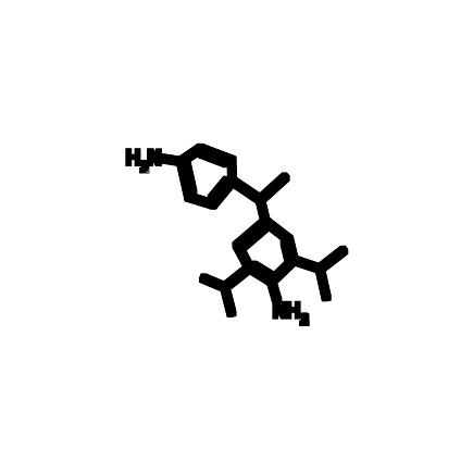 CC(C)c1cc(C(C)c2ccc(N)cc2)cc(C(C)C)c1N